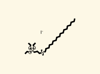 CCCCCCCCCCCCCCCCCC[N+](C)(C)CCC[Si](OCC)(OCC)OCC.[I-]